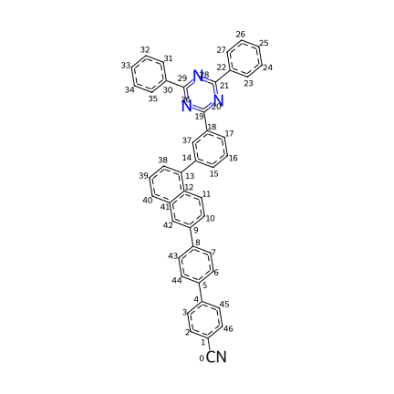 N#Cc1ccc(-c2ccc(-c3ccc4c(-c5cccc(-c6nc(-c7ccccc7)nc(-c7ccccc7)n6)c5)cccc4c3)cc2)cc1